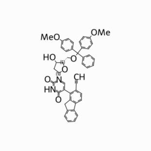 C#Cc1ccc2c(c1-c1cn([C@@H]3CC(O)[C@H](COC(c4ccccc4)(c4ccc(OC)cc4)c4ccc(OC)cc4)O3)c(=O)[nH]c1=O)Cc1ccccc1-2